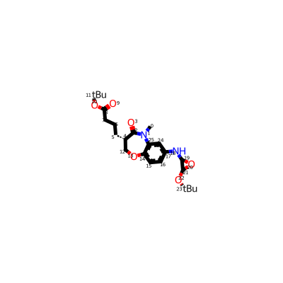 CN1C(=O)[C@@H](CCCC(=O)OC(C)(C)C)COc2ccc(NC3OC3OC(C)(C)C)cc21